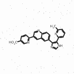 Cc1cccc(-c2[nH]cnc2-c2ccc3ncc(-c4ccc(C(=O)O)cn4)cc3c2)n1